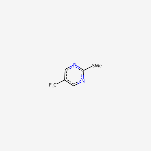 CSc1ncc(C(F)(F)F)cn1